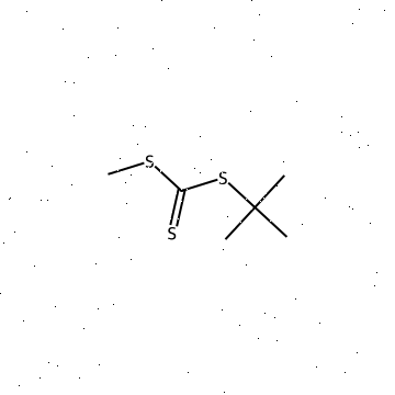 CSC(=S)SC(C)(C)C